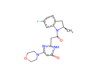 C[C@@H]1Cc2ccc(F)cc2N1C(=O)Cc1nc(N2CCOCC2)cc(=O)[nH]1